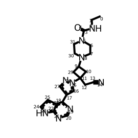 CCNC(=O)N1CCN(C2CC(CC#N)(n3cc(-c4ncnc5[nH]ccc45)cn3)C2)CC1